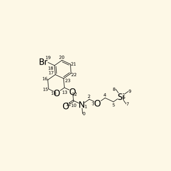 CN(COCC[Si](C)(C)C)C(=O)OC1OCCc2c(Br)cccc21